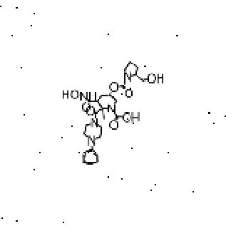 C[C@@]1(C(=O)N2CCN(c3ccccc3)CC2)[C@@H](C(=O)NO)C[C@H](OC(=O)N2CCC[C@H]2CO)CN1C(=O)O